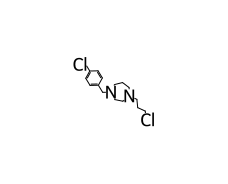 ClCCCN1CCCN(Cc2ccc(Cl)cc2)CC1